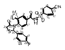 Cc1cc(C(=O)NS(=O)(=O)c2ccc(C#N)cc2)ccc1N1C(=O)CSC1c1ccc(F)cc1